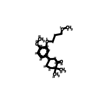 COCCCOc1cc(C2CCC(C)(C)C(=O)C2)ccc1OC